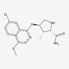 COc1cnc(O[C@H]2CN[C@H](C(N)=O)[C@@H]2C)c2cc(Cl)ccc12